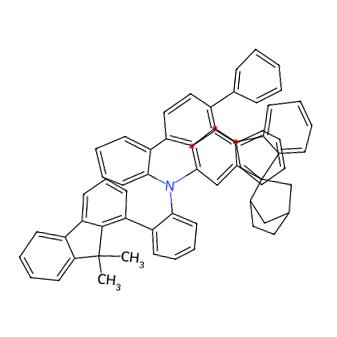 CC1(C)c2ccccc2-c2cccc(-c3ccccc3N(c3ccc4c(c3)C3(CC5CCC3C5)c3ccccc3-4)c3ccccc3-c3ccc(-c4ccccc4)c(-c4ccccc4)c3)c21